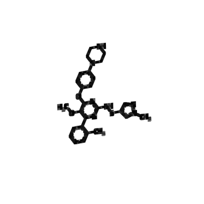 COc1c(Oc2ccc(N3CCNCC3)cc2)nc(NSc2cnn(C)c2)nc1-c1ccccc1C